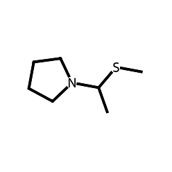 CSC(C)N1CCCC1